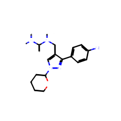 CC(N(C)Cc1cn(C2CCCCO2)nc1-c1ccc(N)cc1)N(C)C(=O)O